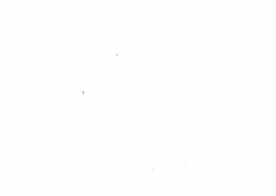 CS(=O)(=O)c1ccc(C(F)(F)F)cc1NC(=O)Nc1cnc(Oc2ccc(-c3cc(Cl)cnc3N)cc2)nc1